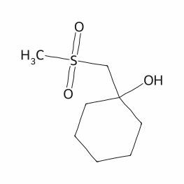 CS(=O)(=O)CC1(O)CCCCC1